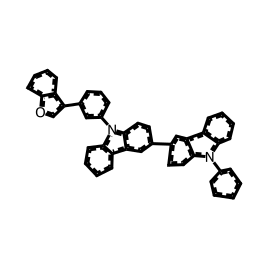 c1ccc(-n2c3ccccc3c3cc(-c4ccc5c(c4)c4ccccc4n5-c4cccc(-c5coc6ccccc56)c4)ccc32)cc1